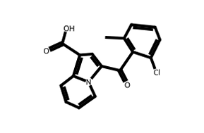 Cc1cccc(Cl)c1C(=O)c1cc(C(=O)O)c2ccccn12